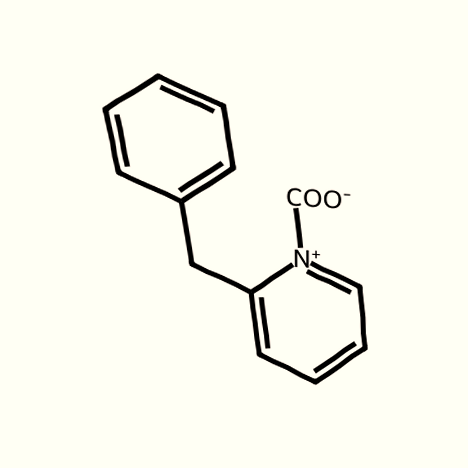 O=C([O-])[n+]1ccccc1Cc1ccccc1